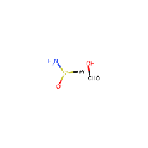 CC(C)[S+](N)[O-].O=CO